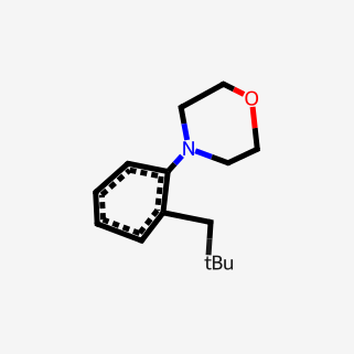 CC(C)(C)Cc1ccccc1N1CCOCC1